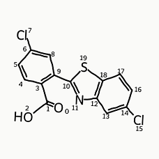 O=C(O)c1ccc(Cl)cc1-c1nc2cc(Cl)ccc2s1